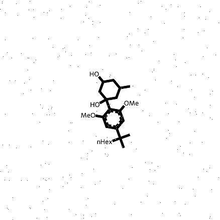 CCCCCCC(C)(C)c1cc(OC)c(C2(O)CC(C)CC(O)C2)c(OC)c1